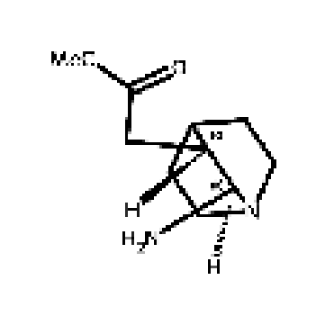 COC(=O)C[C@@H]1C2CCN(CC2)[C@H]1N